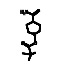 C=C(N)C1CCN(OC(=O)C(C)(C)C)CC1